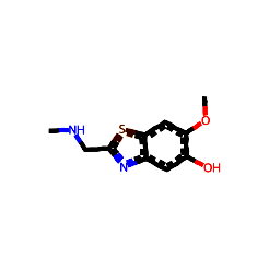 CNCc1nc2cc(O)c(OC)cc2s1